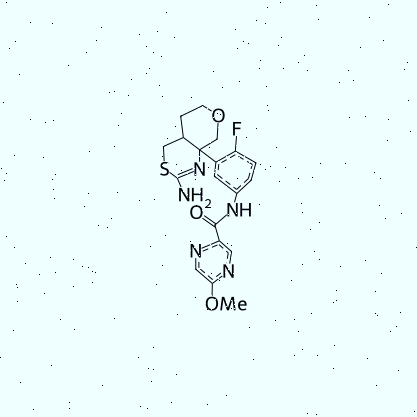 COc1cnc(C(=O)Nc2ccc(F)c(C34COCCC3CSC(N)=N4)c2)cn1